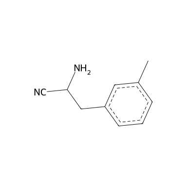 Cc1cccc(CC(N)C#N)c1